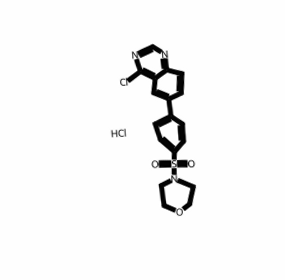 Cl.O=S(=O)(c1ccc(-c2ccc3ncnc(Cl)c3c2)cc1)N1CCOCC1